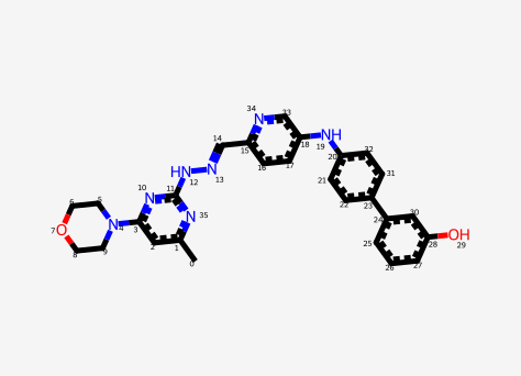 Cc1cc(N2CCOCC2)nc(N/N=C/c2ccc(Nc3ccc(-c4cccc(O)c4)cc3)cn2)n1